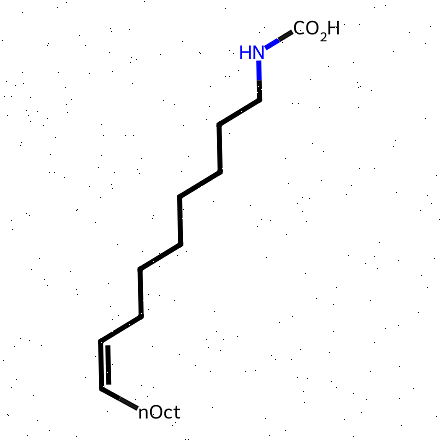 CCCCCCCC/C=C\CCCCCCCNC(=O)O